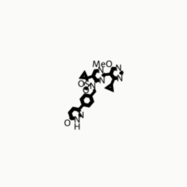 COc1ncnc(C2CC2)c1-c1ncc2c(n1)N(Cc1ccc(-c3ccc(=O)[nH]n3)cc1)S(=O)(=O)C21CC1